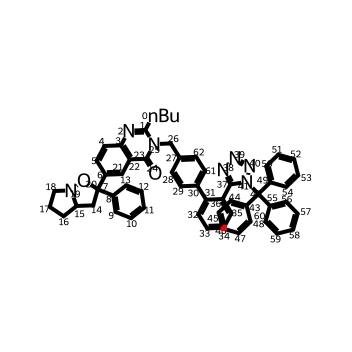 CCCCc1nc2ccc(C3(c4ccccc4)CC4CCCN4O3)cc2c(=O)n1Cc1ccc(-c2ccccc2-c2nnnn2C(c2ccccc2)(c2ccccc2)c2ccccc2)cc1